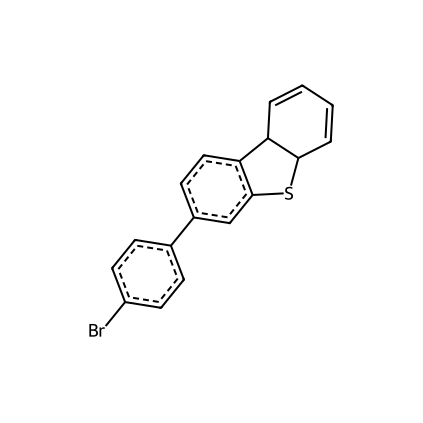 Brc1ccc(-c2ccc3c(c2)SC2C=CC=CC32)cc1